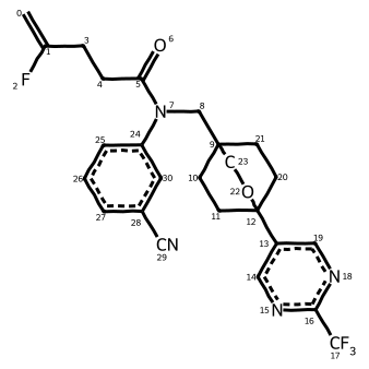 C=C(F)CCC(=O)N(CC12CCC(c3cnc(C(F)(F)F)nc3)(CC1)OC2)c1cccc(C#N)c1